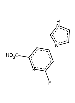 O=C(O)c1cccc(F)n1.c1c[nH]cn1